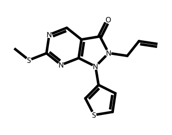 C=CCn1c(=O)c2cnc(SC)nc2n1-c1ccsc1